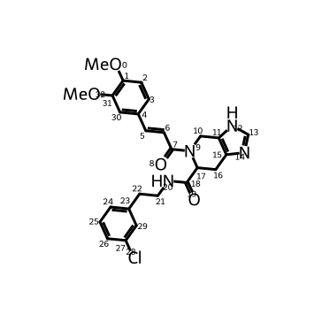 COc1ccc(/C=C/C(=O)N2Cc3[nH]cnc3CC2C(=O)NCCc2cccc(Cl)c2)cc1OC